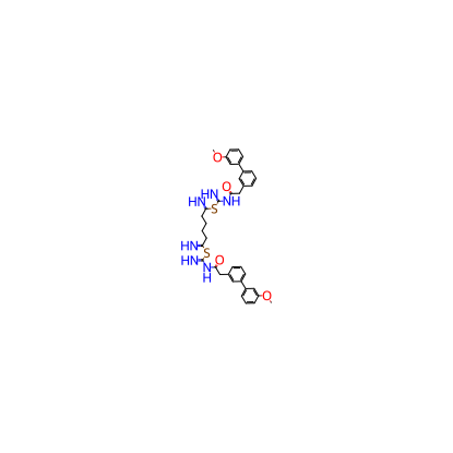 COc1cccc(-c2cccc(CC(=O)NC(=N)SC(=N)CCCCC(=N)SC(=N)NC(=O)Cc3cccc(-c4cccc(OC)c4)c3)c2)c1